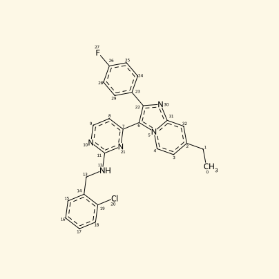 CCc1ccn2c(-c3ccnc(NCc4ccccc4Cl)n3)c(-c3ccc(F)cc3)nc2c1